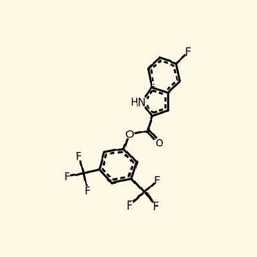 O=C(Oc1cc(C(F)(F)F)cc(C(F)(F)F)c1)c1cc2cc(F)ccc2[nH]1